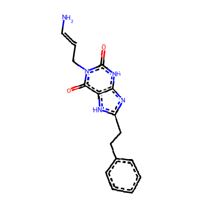 NC=CCn1c(=O)[nH]c2nc(CCc3ccccc3)[nH]c2c1=O